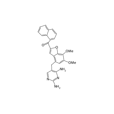 COc1cc(Cc2cnc(N)nc2N)c2cc(C(=O)c3cccc4ccccc34)oc2c1OC